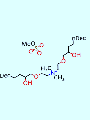 CCCCCCCCCCCCC(O)COCC[N+](C)(C)CCOCC(O)CCCCCCCCCCCC.COS(=O)(=O)[O-]